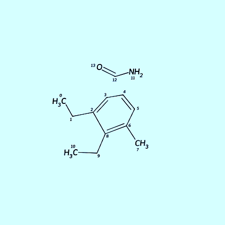 CCc1cccc(C)c1CC.NC=O